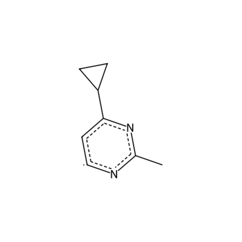 Cc1n[c]cc(C2CC2)n1